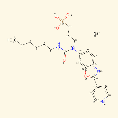 O=C(O)CCCCCNC(=O)N(CCCS(=O)(=O)[O-])c1ccc2nc(-c3ccncc3)oc2c1.[Na+]